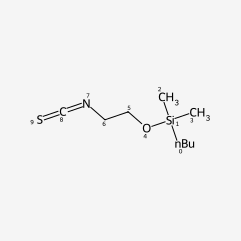 CCCC[Si](C)(C)OCCN=C=S